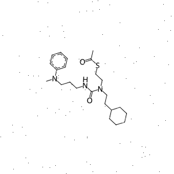 CC(=O)SCCN(CCC1CCCCC1)C(=O)NCCCN(C)c1ccccc1